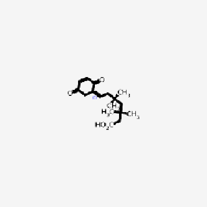 CC(C)(C/C=C1/CC(=O)C=CC1=O)CC(C)(C)CC(=O)O